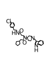 O=C(CCN(C(=O)CC1CCCC1)C1CCN(Cc2c[nH]c3ccccc23)CC1)NCCc1ccc(Cl)cc1